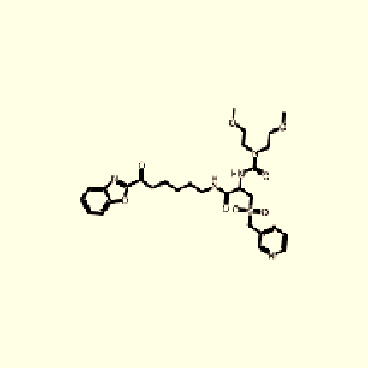 COCCN(CCOC)C(=O)NC(CS(=O)(=O)Cc1cccnc1)C(=O)NCCCCCC(=O)c1nc2ccccc2o1